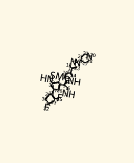 CSNc1cc(/C(C=N)=C2\C=CC(c3cnn(C4CCN(C)CC4)c3)=CN2)cc(-c2ccc(F)cc2F)c1